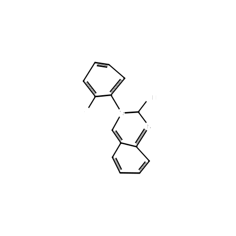 Cc1ccccc1N1C=c2ccccc2=NC1C